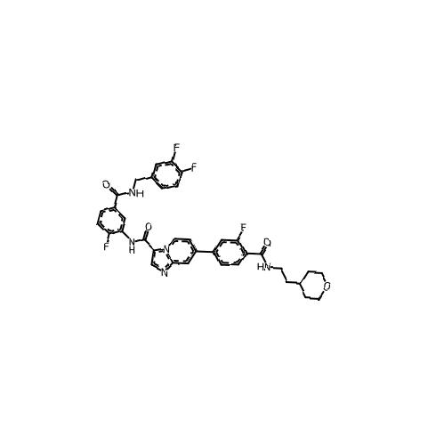 O=C(NCc1ccc(F)c(F)c1)c1ccc(F)c(NC(=O)c2cnc3cc(-c4ccc(C(=O)NCCC5CCOCC5)c(F)c4)ccn23)c1